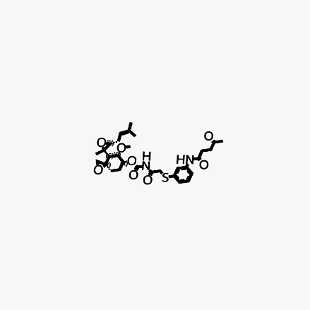 CO[C@H]1[C@H](C2(C)O[C@@H]2CC=C(C)C)[C@]2(CC[C@H]1OC(=O)NC(=O)CSc1cccc(NC(=O)CCC(C)=O)c1)CO2